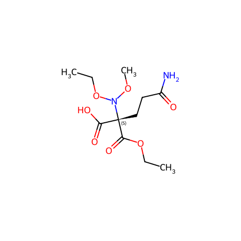 CCOC(=O)[C@](CCC(N)=O)(C(=O)O)N(OC)OCC